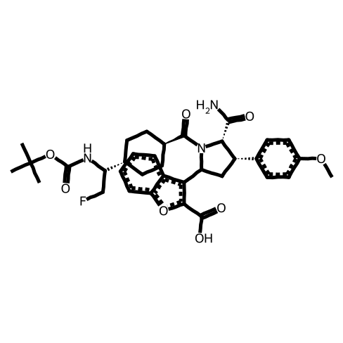 COc1ccc([C@@H]2CC(c3c(C(=O)O)oc4ccccc34)N(C(=O)[C@H]3CC[C@H](C(CF)NC(=O)OC(C)(C)C)CC3)[C@@H]2C(N)=O)cc1